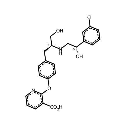 O=C(O)c1cccnc1Oc1ccc(C[C@@H](CO)NC[C@@H](O)c2cccc(Cl)c2)cc1